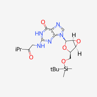 CC(C)C(=O)CNc1nc2c(ncn2[C@@H]2O[C@H](CO[Si](C)(C)C(C)(C)C)[C@@H]3O[C@@H]32)c(=O)[nH]1